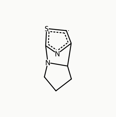 [c]1sc2nc1C1CCCN21